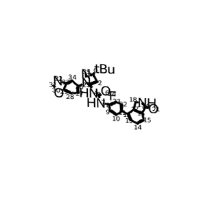 CC(C)(C)c1cc(NC(=O)Nc2ccc(-c3cccc4c3CNC4=O)cc2F)n(-c2ccc3ocnc3c2)n1